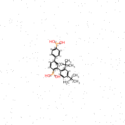 CC(C)(C)c1ccc(-c2cc(-c3ccc(P(O)O)cc3)ccc2P(O)O)c(C(C)(C)C)c1